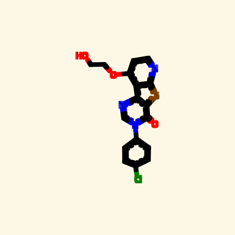 O=c1c2sc3nccc(OCCO)c3c2ncn1-c1ccc(Cl)cc1